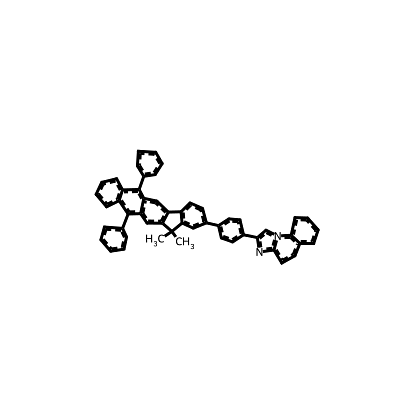 CC1(C)c2cc(-c3ccc(-c4cn5c(ccc6ccccc65)n4)cc3)ccc2-c2cc3c(-c4ccccc4)c4ccccc4c(-c4ccccc4)c3cc21